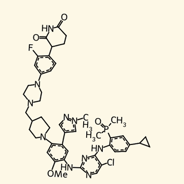 COc1cc(N2CCC(CN3CCN(c4ccc(C5CCC(=O)NC5=O)c(F)c4)CC3)CC2)c(-c2cnn(C)c2)cc1Nc1ncc(Cl)c(Nc2ccc(C3CC3)cc2P(C)(C)=O)n1